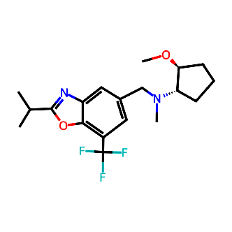 CO[C@H]1CCC[C@@H]1N(C)Cc1cc(C(F)(F)F)c2oc(C(C)C)nc2c1